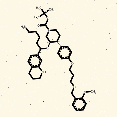 COc1ccccc1COCCCOc1ccc([C@H]2CCN(C(=O)OC(C)(C)C)C[C@@H]2OC(CCCCN)c2ccc3c(c2)NCCC3)cc1